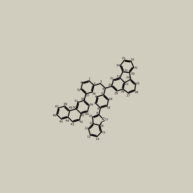 c1cc(CC(c2ccc(-c3cc4ccccc4s3)cc2)c2cc3c4c(cccc4c2)-c2ccccc2-3)cc(-c2ccc3ccc4ccccc4c3c2)c1